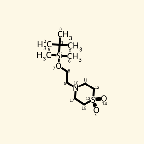 CC(C)(C)[Si](C)(C)OCCN1CCS(=O)(=O)CC1